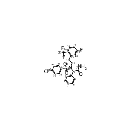 NC(=O)C(c1ccccc1)N(CCc1cc(F)ccc1C(F)(F)F)S(=O)(=O)c1ccc(Cl)cc1